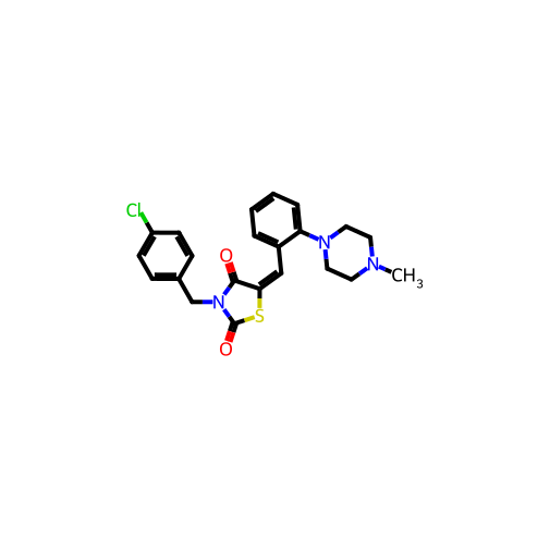 CN1CCN(c2ccccc2/C=C2/SC(=O)N(Cc3ccc(Cl)cc3)C2=O)CC1